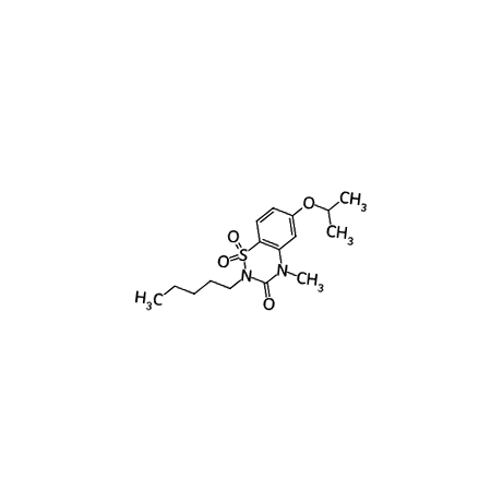 CCCCCN1C(=O)N(C)c2cc(OC(C)C)ccc2S1(=O)=O